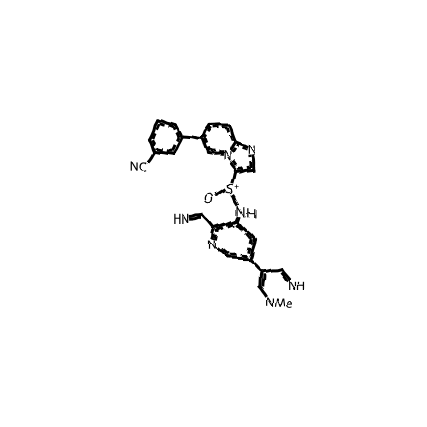 CN/C=C(\C=N)c1cnc(C=N)c(N[S+]([O-])c2cnc3ccc(-c4cccc(C#N)c4)cn23)c1